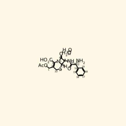 CC(=O)OCC1=C(C(=O)O)N2C(=O)[C@@H](NC(=O)[C@H](N)c3ccccc3)[C@H]2SC1.O.O